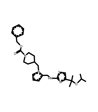 CC(C)OC(C)(C)c1csc(NCc2cccn2CC2CCN(C(=O)OCc3ccccc3)CC2)n1